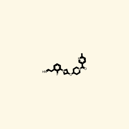 Cc1ccc(C(=O)N2CCC(OC3CN(c4cccc(CC=N)c4F)C3)CC2)cn1